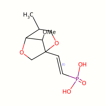 COC1C2OCC1(/C=C/P(=O)(O)O)OCC2C